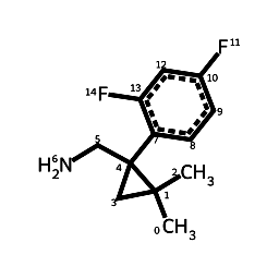 CC1(C)CC1(CN)c1ccc(F)cc1F